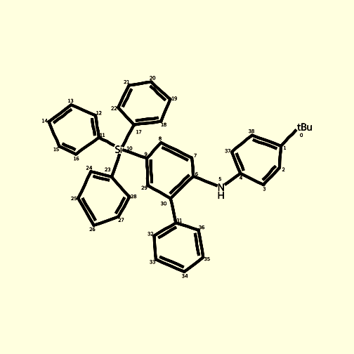 CC(C)(C)c1ccc(Nc2ccc([Si](c3ccccc3)(c3ccccc3)c3ccccc3)cc2-c2ccccc2)cc1